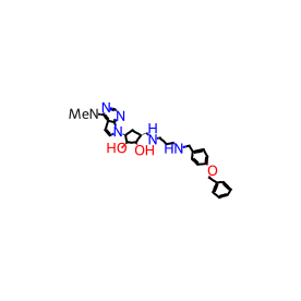 CNc1ncnc2c1ccn2[C@@H]1C[C@H](CNCCCNCc2ccc(OCc3ccccc3)cc2)[C@@H](O)[C@H]1O